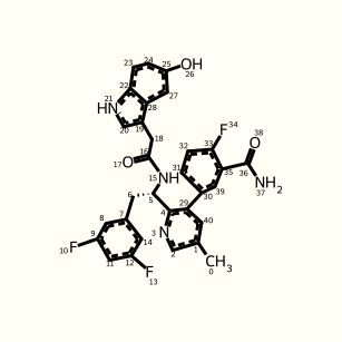 Cc1cnc([C@H](Cc2cc(F)cc(F)c2)NC(=O)Cc2c[nH]c3ccc(O)cc23)c(-c2ccc(F)c(C(N)=O)c2)c1